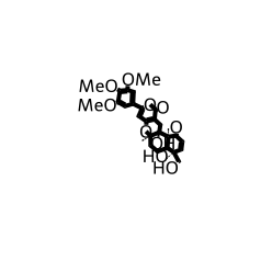 COc1cc(-c2cc3c(c(=O)o2)C[C@]2(O)[C@@]4(C)C(=O)C=C[C@@](C)(CO)[C@]4(O)CC[C@@]2(C)O3)cc(OC)c1OC